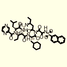 CCC(N)CC(=O)N(C(=O)C(=O)NS(=O)(=O)c1ccc2ccccc2c1)C(=O)[C@H](CC1CCCCC1)NC(=O)[C@@H](NC(=O)[C@H](CC(C)C)NC(=O)c1cnccn1)[C@@H](C)CC